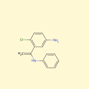 C=C(Nc1ccccc1)c1cc(N)ccc1Cl